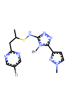 CC(Cc1ncc(Cl)cn1)SNc1nnc(-c2ccn(C)n2)n1C(C)C